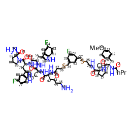 CCCC(=O)N[C@@H](Cc1ccc(OC)cc1)C(=O)N1CCC[C@@]1(C)C(=O)NCCSCc1cc(F)cc(CSCCC(=O)N[C@@H](CCCCN)C(=O)N[C@H](C)C(=O)N[C@@H](Cc2c[nH]c3ccc(F)cc23)C(=O)N[C@@H](Cc2c[nH]c3ccc(F)cc23)C(=O)N2CCC[C@H]2C(N)=O)c1